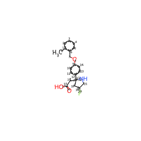 Cc1ccccc1COc1ccc([C@@]2(CC(=O)O)C[C@H](F)CN2)cc1